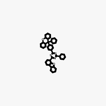 c1ccc(-c2nc(-c3ccc(C4(c5ccccc5)c5ccccc5Oc5ccccc54)cc3)nc(-c3cccc4c3oc3ccccc34)n2)cc1